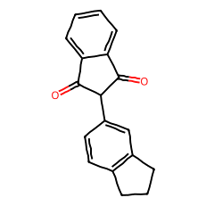 O=C1c2ccccc2C(=O)C1c1ccc2c(c1)CCC2